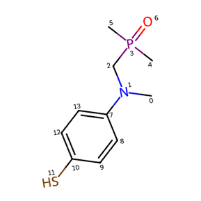 CN(CP(C)(C)=O)c1ccc(S)cc1